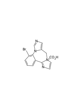 O=C(O)[N+]12C=CN=C1c1cccc(Br)c1-n1cncc1C2